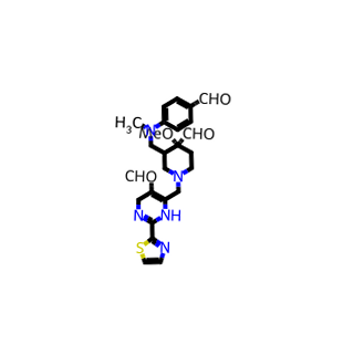 COC1(C=O)CCN(CC2=C(C=O)CN=C(c3nccs3)N2)CC1CN(C)c1ccc(C=O)cc1